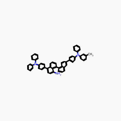 Cc1cccc(N(c2ccccc2)c2ccc(-c3ccc4c(-c5cccc6c(-c7ccc(N(c8ccccc8)c8ccccc8)cc7)ccc(N)c56)cccc4c3)cc2)c1